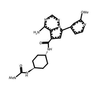 CNC(=O)N[C@H]1CC[C@H](NC(=O)c2cc(-c3ccnc(OC)c3)n3ncnc(N)c23)CC1